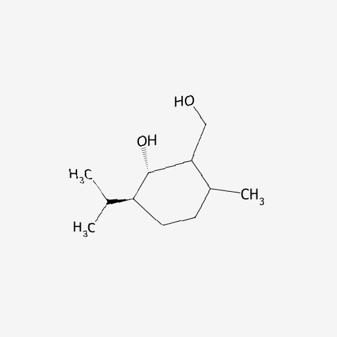 CC1CC[C@@H](C(C)C)[C@H](O)C1CO